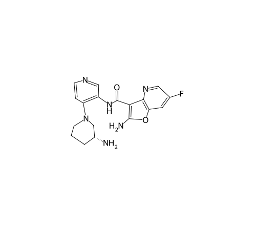 Nc1oc2cc(F)cnc2c1C(=O)Nc1cnccc1N1CCC[C@@H](N)C1